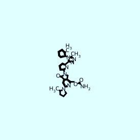 Cc1ccccc1-n1c(C)nnc1-c1cccc(N2Cc3c(cc(N4CCCC4C)nc3COC(N)=O)C2=O)n1